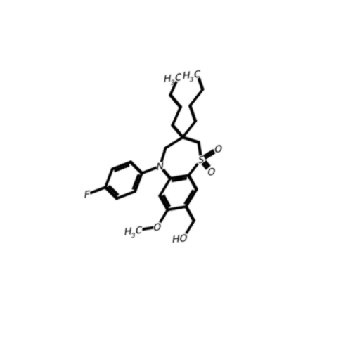 CCCCC1(CCCC)CN(c2ccc(F)cc2)c2cc(OC)c(CO)cc2S(=O)(=O)C1